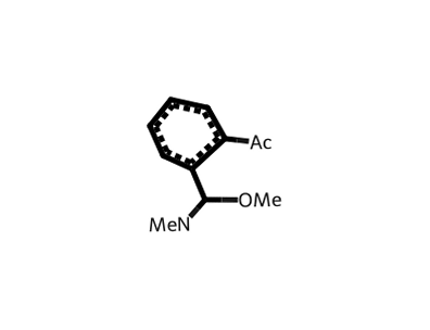 CNC(OC)c1ccccc1C(C)=O